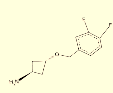 N[C@H]1C[C@H](OCc2ccc(F)c(F)c2)C1